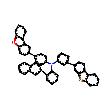 c1cc(-c2ccc3c(c2)sc2ccccc23)cc(N(c2ccc(-c3ccc4oc5ccccc5c4c3)cc2)c2ccccc2-c2ccc3ccccc3c2)c1